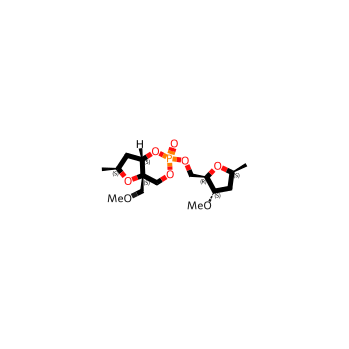 COC[C@]12COP(=O)(OC[C@H]3O[C@@H](C)C[C@@H]3OC)O[C@H]1C[C@H](C)O2